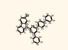 Brc1ccc2c3ccccc3n(-c3nc(-c4ccccc4)cc(-c4ccc(-c5ccccc5)cc4)n3)c2c1